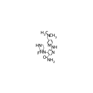 CN(C)Cc1ccc(Nc2cc(N[C@@H]3CCNC[C@@H]3F)c(C(N)=O)cn2)nc1